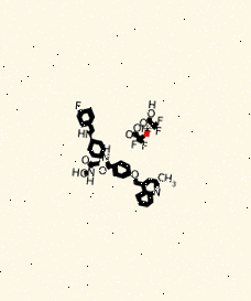 Cc1cc(COc2ccc(C(=O)N[C@]3(CC(=O)NO)CC[C@H](NCc4ccc(F)cc4)CC3)cc2)c2ccccc2n1.O=C(O)C(F)(F)F.O=C(O)C(F)(F)F